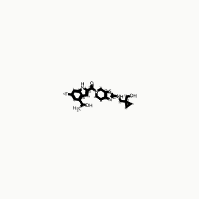 CC(O)c1cc(F)cc2[nH]c(C(=O)N3CCc4nc(NCC5(CO)CC5)sc4C3)cc12